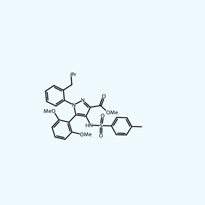 COC(=O)c1nn(-c2ccccc2CC(C)C)c(-c2c(OC)cccc2OC)c1NS(=O)(=O)c1ccc(C)cc1